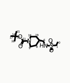 CCS(=O)(=O)NCC1CCN(C(=O)OC(C)(C)C)CC1